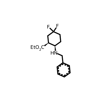 CCOC(=O)[C@H]1CC(F)(F)CC[C@H]1NCc1ccccc1